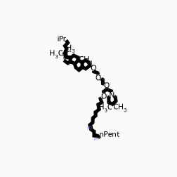 CCCCC/C=C\C/C=C\CCCCCCCCOCC(CN1CCC(C)(C)CC1)OCCOCCO[C@H]1CC[C@@]2(C)C(=CCC3C2CC[C@@]2(C)C3CC[C@@H]2[C@H](C)CCCC(C)C)C1